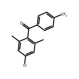 Cc1cc(Cl)cc(C)c1C(=O)c1ccc(C(F)(F)F)cc1